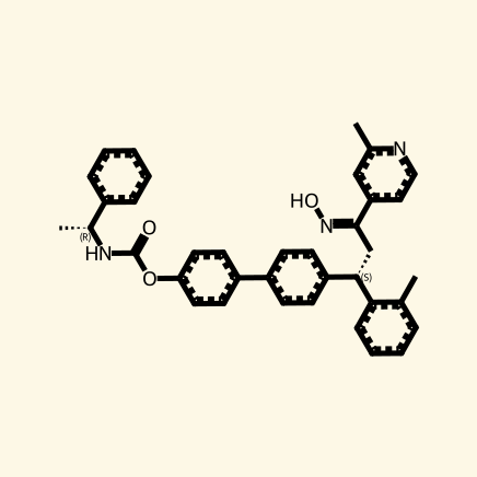 Cc1cc(C(C[C@@H](c2ccc(-c3ccc(OC(=O)N[C@H](C)c4ccccc4)cc3)cc2)c2ccccc2C)=NO)ccn1